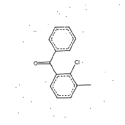 Cc1cccc(C(=O)c2ccccc2)c1Cl